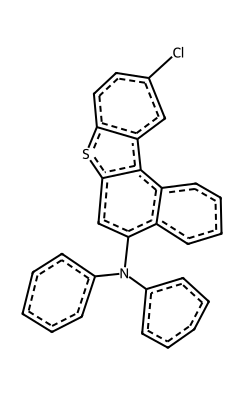 Clc1ccc2sc3cc(N(c4ccccc4)c4ccccc4)c4ccccc4c3c2c1